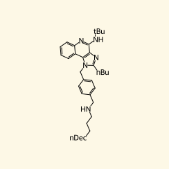 CCCCCCCCCCCCCNCc1ccc(Cn2c(CCCC)nc3c(NC(C)(C)C)nc4ccccc4c32)cc1